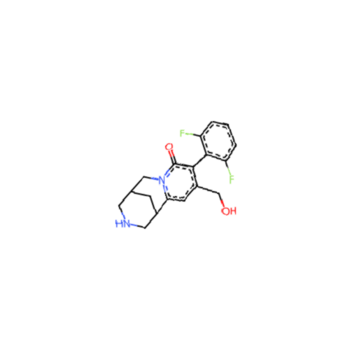 O=c1c(-c2c(F)cccc2F)c(CO)cc2n1CC1CNCC2C1